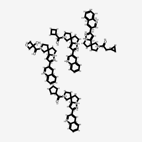 CC1(C(=O)N2CCC3(CCn4nc(-c5cnc6ccccc6c5)cc43)C2)COC1.O=C(C1CCC1)N1CCC2(CCn3nc(-c4cnc5ccccc5c4)cc32)C1.O=C(C1CCCC1)N1CCC2(CCn3nc(-c4cnc5ccccc5c4)cc32)C1.O=C(CC1CC1)N1CCC2(CCn3nc(-c4cnc5ccccc5c4)cc32)C1